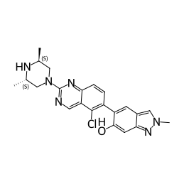 C[C@H]1CN(c2ncc3c(Cl)c(-c4cc5cn(C)nc5cc4O)ccc3n2)C[C@H](C)N1